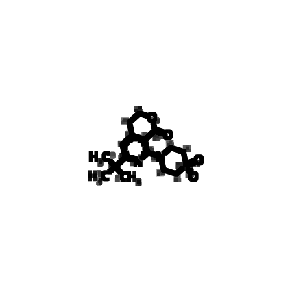 CC(C)(C)c1cc2c(c(N3CCS(=O)(=O)CC3)n1)C(=O)OCC2